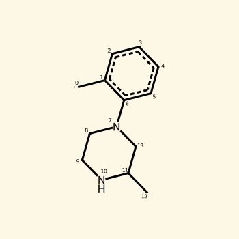 [CH2]c1ccccc1N1CCNC(C)C1